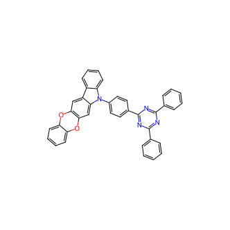 c1ccc(-c2nc(-c3ccccc3)nc(-c3ccc(-n4c5ccccc5c5cc6c(cc54)Oc4ccccc4O6)cc3)n2)cc1